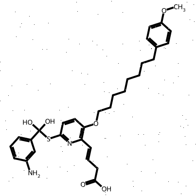 COc1ccc(CCCCCCCCOc2ccc(SC(O)(O)c3cccc(N)c3)nc2C=CCC(=O)O)cc1